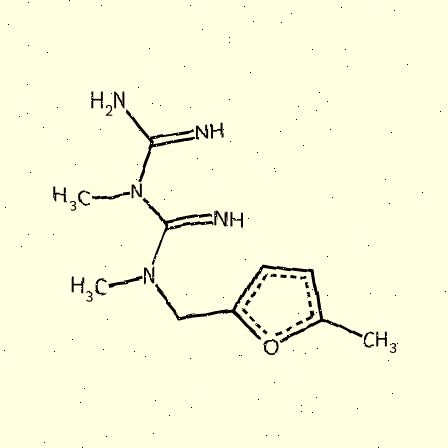 Cc1ccc(CN(C)C(=N)N(C)C(=N)N)o1